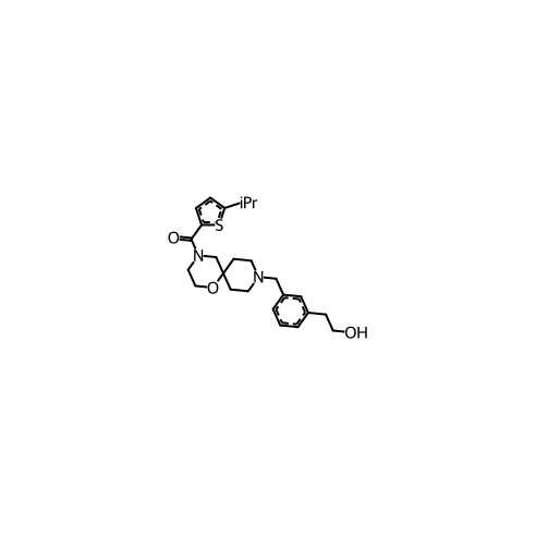 CC(C)c1ccc(C(=O)N2CCOC3(CCN(Cc4cccc(CCO)c4)CC3)C2)s1